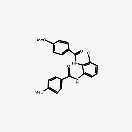 COc1ccc(C(=O)Nc2cccc(Cl)c2NC(=O)c2ccc(OC)cc2)cc1